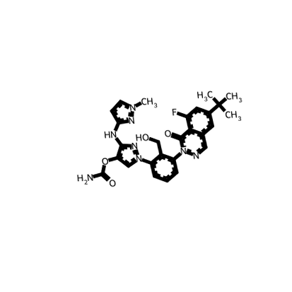 Cn1ccc(Nc2nn(-c3cccc(-n4ncc5cc(C(C)(C)C)cc(F)c5c4=O)c3CO)cc2OC(N)=O)n1